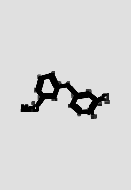 COc1cccc(Cc2ccnc(Cl)c2)c1